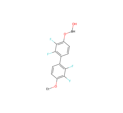 CCOc1ccc(-c2ccc(OBO)c(F)c2F)c(F)c1F